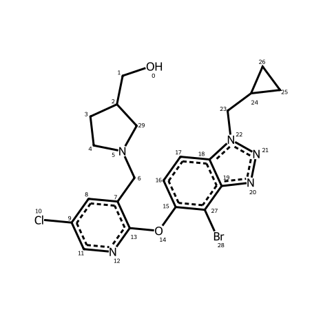 OCC1CCN(Cc2cc(Cl)cnc2Oc2ccc3c(nnn3CC3CC3)c2Br)C1